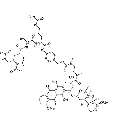 COc1cccc2c1C(=O)c1c(O)c3c(c(O)c1C2=O)C[C@@](O)(C(=O)N(C)CCN(C)C(=O)OCc1ccc(NC(=O)[C@H](CCCNC(N)=O)NC(=O)[C@@H](NC(=O)CCC(CN2C(=O)C=CC2=O)N2C(=O)C=CC2=O)C(C)C)cc1)C[C@@H]3O[C@H]1C[C@H]2[C@H](O[C@@H]3[C@@H](OC)OCCN32)[C@H](C)O1